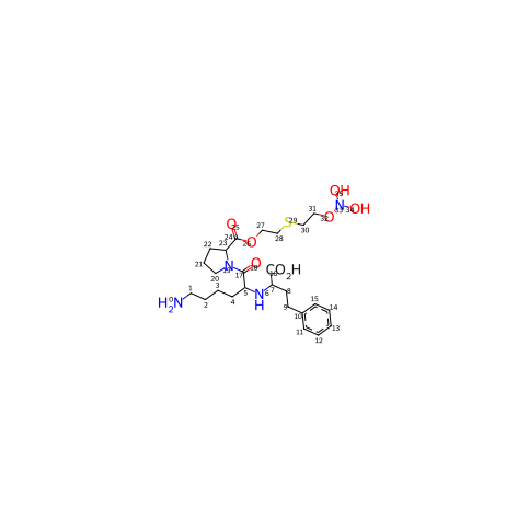 NCCCCC(NC(CCc1ccccc1)C(=O)O)C(=O)N1CCCC1C(=O)OCCSCCON(O)O